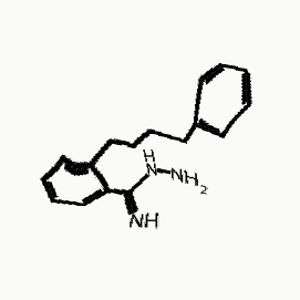 N=C(NN)c1ccccc1CCCCc1ccccc1